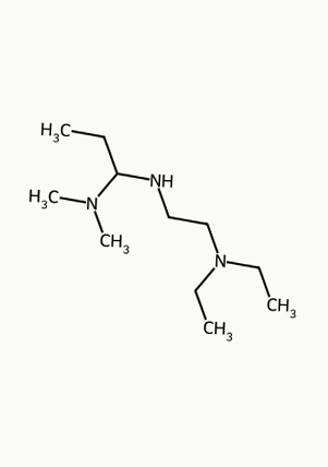 CCC(NCCN(CC)CC)N(C)C